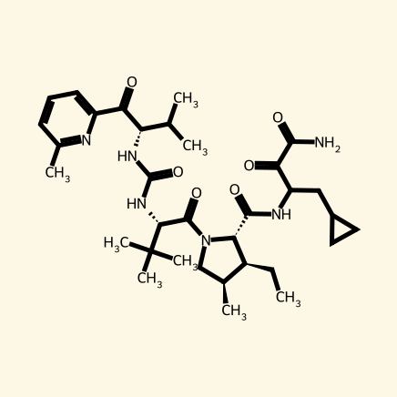 CC[C@@H]1[C@@H](C(=O)NC(CC2CC2)C(=O)C(N)=O)N(C(=O)[C@@H](NC(=O)N[C@H](C(=O)c2cccc(C)n2)C(C)C)C(C)(C)C)C[C@@H]1C